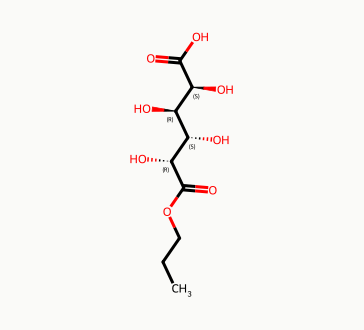 CCCOC(=O)[C@H](O)[C@@H](O)[C@@H](O)[C@H](O)C(=O)O